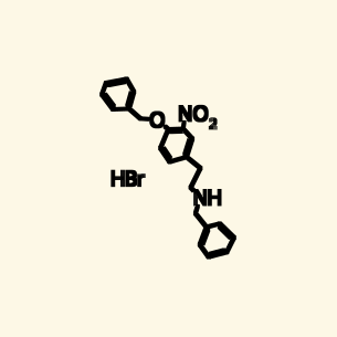 Br.O=[N+]([O-])c1cc(CCNCc2ccccc2)ccc1OCc1ccccc1